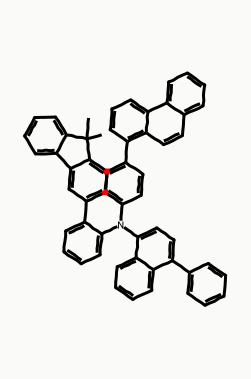 CC1(C)c2ccccc2-c2cc(-c3ccccc3N(c3ccc(-c4cccc5c4ccc4ccccc45)cc3)c3ccc(-c4ccccc4)c4ccccc34)ccc21